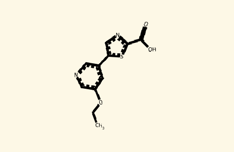 CCOc1cncc(-c2cnc(C(=O)O)s2)c1